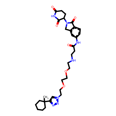 CC1(c2cn(CCOCCOCCNCCC(=O)Nc3ccc4c(c3)CN(C3CCC(=O)NC3=O)C4=O)nn2)CCCCC1